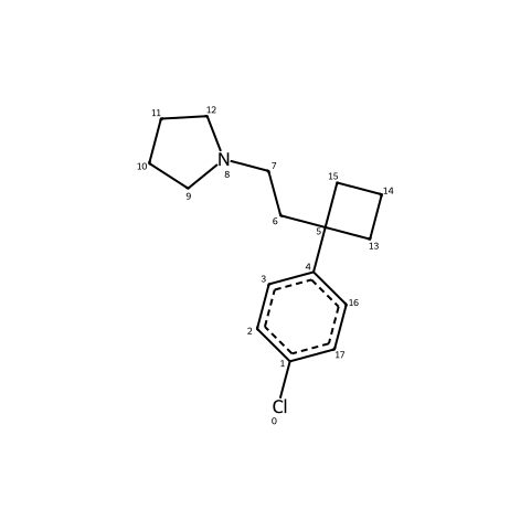 Clc1ccc(C2(CCN3CCCC3)CCC2)cc1